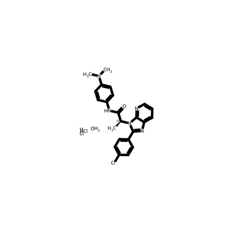 C[C@@H](C(=O)Nc1ccc(N(C)C)cc1)n1c(-c2ccc(Cl)cc2)nc2cccnc21.Cl.Cl.O